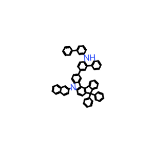 c1ccc(-c2cccc(Nc3ccc(-c4ccc5c(c4)c4c6c(ccc4n5-c4ccc5ccccc5c4)C(c4ccccc4)(c4ccccc4)c4ccccc4-6)cc3-c3ccccc3)c2)cc1